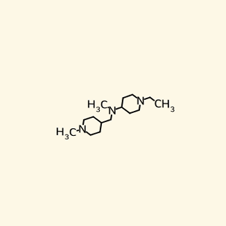 CCN1CCC(N(C)CC2CCN(C)CC2)CC1